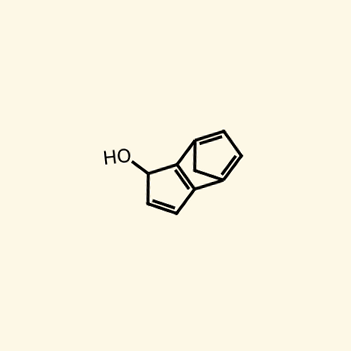 OC1C=CC2=C1C1=CC=C2C1